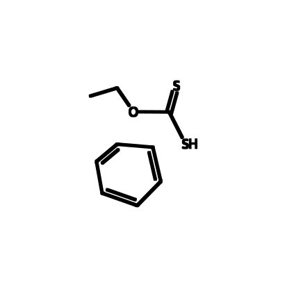 CCOC(=S)S.c1ccccc1